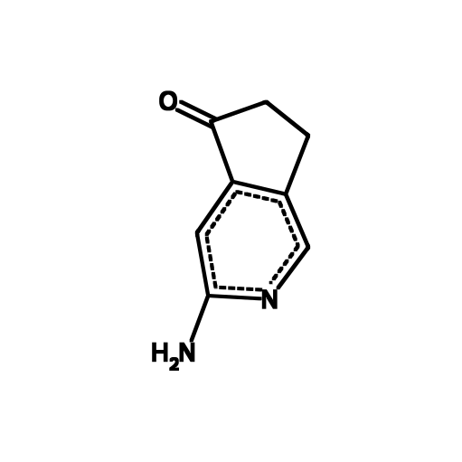 Nc1cc2c(cn1)CCC2=O